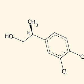 C[C@H](CO)c1ccc(Cl)c(Cl)c1